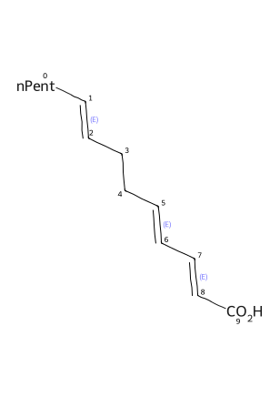 CCCCC/C=C/CC/C=C/C=C/C(=O)O